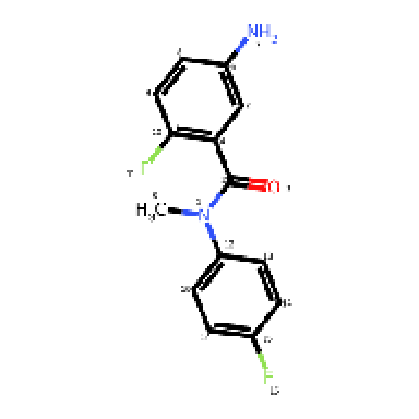 CN(C(=O)c1cc(N)ccc1F)c1ccc(F)cc1